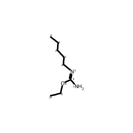 CCCCCN=C(N)OCC